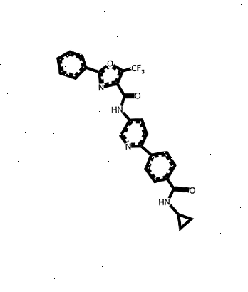 O=C(NC1CC1)c1ccc(-c2ccc(NC(=O)c3nc(-c4ccccc4)oc3C(F)(F)F)cn2)cc1